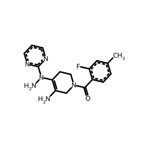 Cc1ccc(C(=O)N2CCC(N(N)c3ncccn3)=C(N)C2)c(F)c1